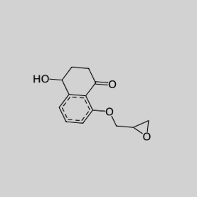 O=C1CCC(O)c2cccc(OCC3CO3)c21